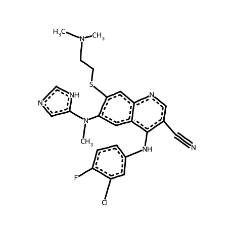 CN(C)CCSc1cc2ncc(C#N)c(Nc3ccc(F)c(Cl)c3)c2cc1N(C)c1cnc[nH]1